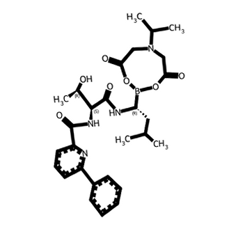 CC(C)C[C@H](NC(=O)[C@@H](NC(=O)c1cccc(-c2ccccc2)n1)[C@@H](C)O)B1OC(=O)CN(C(C)C)CC(=O)O1